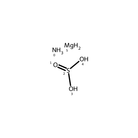 N.O=S(O)O.[MgH2]